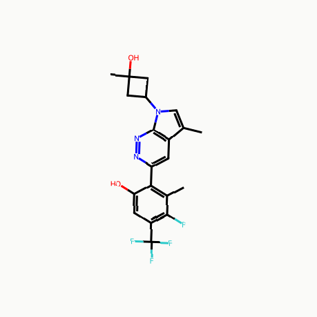 Cc1c(F)c(C(F)(F)F)cc(O)c1-c1cc2c(C)cn(C3CC(C)(O)C3)c2nn1